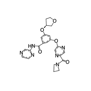 O=C(Nc1cnccn1)c1cc(Oc2cnc(C(=O)N3CCC3)cn2)cc(O[C@H]2CCOC2)c1